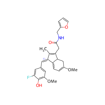 COC1=CC=C2/C(=C\c3cc(F)c(O)c(OC)c3)C(C)=C(CC(=O)NCc3ccco3)C2C1